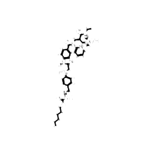 CCCCCCOC(=O)NN=Cc1ccc(NCc2nc3cc(C(=O)N(CC(CS(=O)(=O)O)C(=O)OCC)c4ccccn4)ccc3n2C)cc1